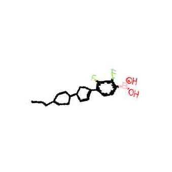 CCCC1CCC(C2CC=C(c3ccc(B(O)O)c(F)c3F)CC2)CC1